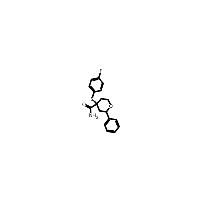 NC(=O)C1(Sc2ccc(F)cc2)CCOC(c2ccccc2)C1